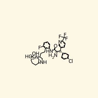 N[C@H](C(=O)Nc1cccc(F)c1CCC1CNC2CCCS(O)(O)N1C2)[C@@H](c1ccc(Cl)cc1)c1ccc(C(F)(F)F)nc1